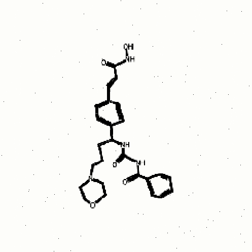 O=C(C=Cc1ccc(C(CCCN2CCOCC2)NC(=O)NC(=O)c2ccccc2)cc1)NO